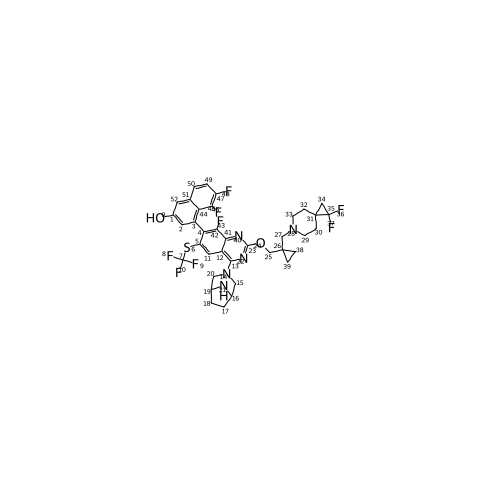 Oc1cc(-c2c(SC(F)(F)F)cc3c(N4CC5CCC(C4)N5)nc(OCC4(CN5CCC6(CC5)CC6(F)F)CC4)nc3c2F)c2c(F)c(F)ccc2c1